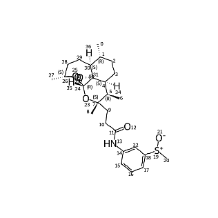 C[C@@H]1CC[C@H]2[C@@H](C)[C@](C)(CCC(=O)Nc3cccc([S+](C)[O-])c3)O[C@@H]3O[C@]4(C)CC[C@@H]1[C@]32OO4